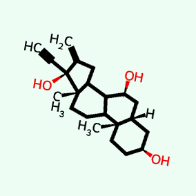 C#C[C@]1(O)C(=C)CC2C3C(CC[C@@]21C)[C@@]1(C)CC[C@H](O)C[C@H]1C[C@@H]3O